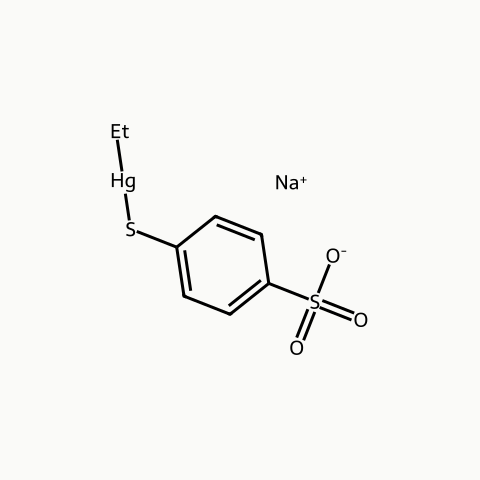 C[CH2][Hg][S]c1ccc(S(=O)(=O)[O-])cc1.[Na+]